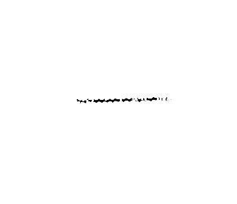 CCCCCCCCCCCCCCCCCCCCCCOCCCCCCCCCCN=C=O